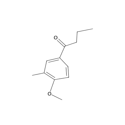 CCCC(=O)c1ccc(OC)c(C)c1